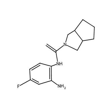 C=C(Nc1ccc(F)cc1N)N1CC2CCCC2C1